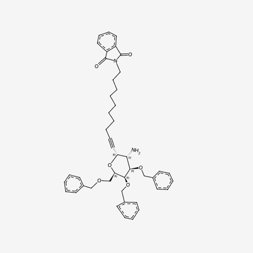 N[C@@H]1[C@@H](OCc2ccccc2)[C@@H](OCc2ccccc2)[C@@H](COCc2ccccc2)O[C@@H]1C#CCCCCCCCCN1C(=O)c2ccccc2C1=O